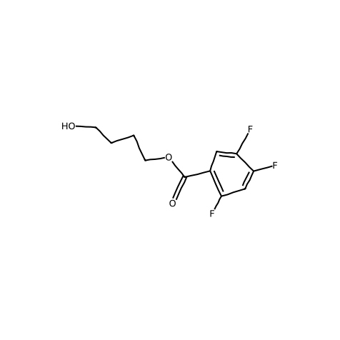 O=C(OCCCCO)c1cc(F)c(F)cc1F